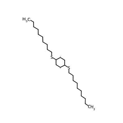 CCCCCCCCCCSC1[CH]CC(SCCCCCCCCCC)[CH]C1